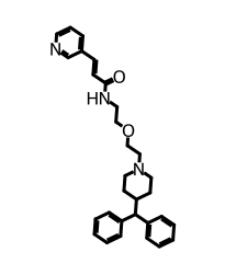 O=C(C=Cc1cccnc1)NCCOCCN1CCC(C(c2ccccc2)c2ccccc2)CC1